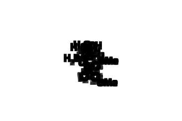 B[C@@H]1OC(COC(c2ccccc2)(c2ccc(OC)cc2)c2ccc(OC)cc2)C(O)C1CC(C)(C)[Si](C)(C)O